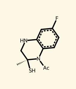 CC(=O)N1c2ccc(F)cc2NC[C@]1(C)S